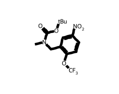 CN(Cc1cc([N+](=O)[O-])ccc1OC(F)(F)F)C(=O)OC(C)(C)C